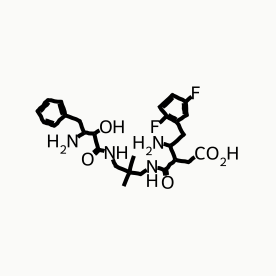 CC(C)(CNC(=O)C(O)C(N)Cc1ccccc1)CNC(=O)C(CC(=O)O)C(N)Cc1cc(F)ccc1F